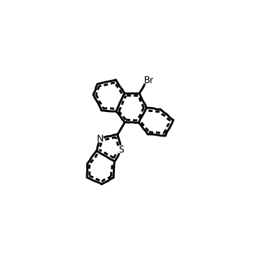 Brc1c2ccccc2c(-c2nc3ccccc3s2)c2ccccc12